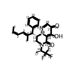 C/C=C\C=C(/C)C(c1ccccc1)[C@H]1CN([C@H](C)C(F)(F)F)C(=O)c2c(O)c(=O)cnn21